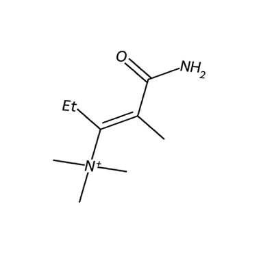 CC/C(=C(/C)C(N)=O)[N+](C)(C)C